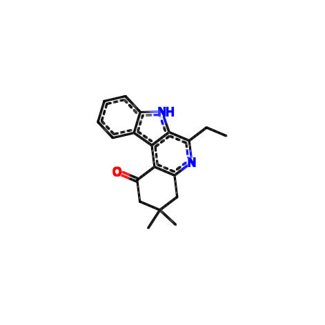 CCc1nc2c(c3c1[nH]c1ccccc13)C(=O)CC(C)(C)C2